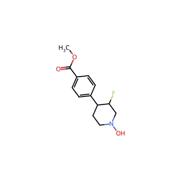 COC(=O)c1ccc(C2CCN(O)CC2F)cc1